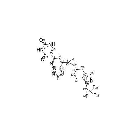 O=c1[nH]cc(-c2cc([C@H]3C[C@@H]3c3ccc4c(cnn4CC(F)(F)F)c3)c3ncnn3n2)c(=O)[nH]1